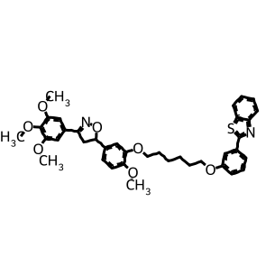 COc1ccc(C2CC(c3cc(OC)c(OC)c(OC)c3)=NO2)cc1OCCCCCCOc1cccc(-c2nc3ccccc3s2)c1